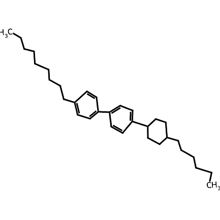 CCCCCCCCCc1ccc(-c2ccc(C3CCC(CCCCCC)CC3)cc2)cc1